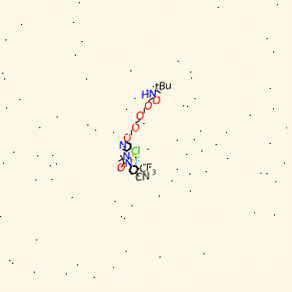 CC(NC(=O)COCCOCCOCCOc1cc(Cl)c(N2C(=S)N(c3ccc(C#N)c(C(F)(F)F)c3F)C(=O)C2(C)C)cn1)C(C)(C)C